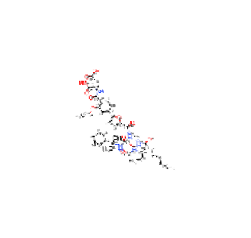 CCCCC[C@@H](C(=O)NCNC(=O)c1ccc(-c2ccc(C(=O)N[C@@H](CC(=O)O)C(=O)O)c(OCC)c2)o1)[C@@H](CC)N(C=O)OC(=O)NC(C)(C)c1ccccc1